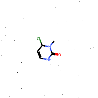 CN1C(=O)NC=CC1Cl